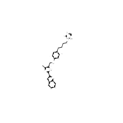 Cc1oc(-c2cc3ccccc3s2)nc1COc1ccc(CCCCn2cncn2)cc1